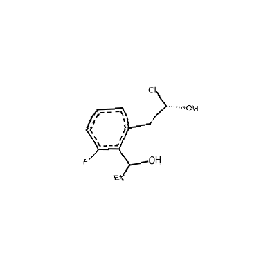 [CH2]CC(O)c1c(F)cccc1C[C@@H](O)Cl